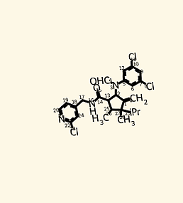 C=C1C(N(C=O)c2cc(Cl)cc(Cl)c2)C(C(=O)NCc2ccnc(Cl)c2)C(C)C1(C)C(C)C